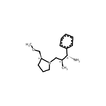 COC[C@@H]1CCCN1C[C@H](C)[C@@H](N)c1ccccc1